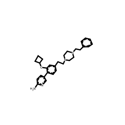 Nc1ccc(-c2ccc(CCN3CCN(CCc4ccccc4)CC3)cc2OC2CCC2)cn1